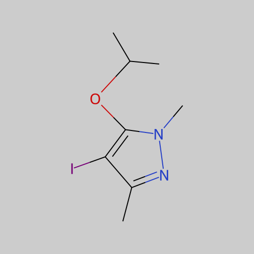 Cc1nn(C)c(OC(C)C)c1I